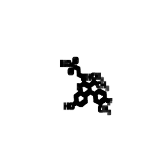 Cc1cc(-c2c(C(C)C)c(NCCS(=O)(=O)O)nc3cc(O)ccc23)ccc1F